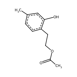 CC(=O)OCCc1ccc(C)cc1O